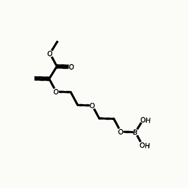 C=C(OCCOCCOB(O)O)C(=O)OC